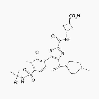 CCC(C)(C)NS(=O)(=O)c1ccc(-c2sc(C(=O)N[C@H]3C[C@H](C(=O)O)C3)nc2C(=O)N2CCC(C)CC2)c(Cl)c1C